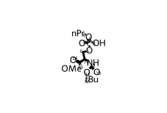 CCCOP(=O)(O)OCC(NC(=O)OC(C)(C)C)C(=O)OC